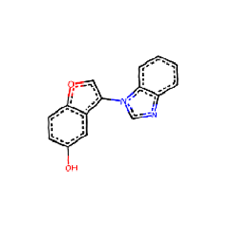 Oc1ccc2occ(-n3cnc4ccccc43)c2c1